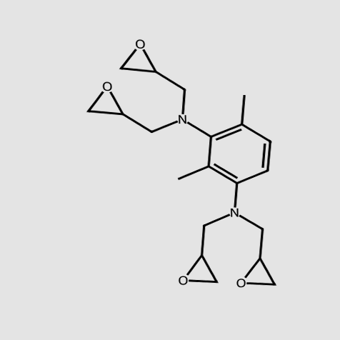 Cc1ccc(N(CC2CO2)CC2CO2)c(C)c1N(CC1CO1)CC1CO1